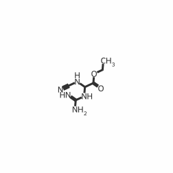 CCOC(=O)C(NC#N)NC(=N)N